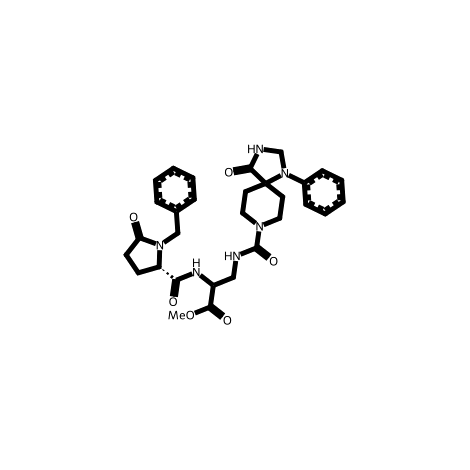 COC(=O)C(CNC(=O)N1CCC2(CC1)C(=O)NCN2c1ccccc1)NC(=O)[C@@H]1CCC(=O)N1Cc1ccccc1